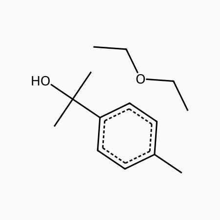 CCOCC.Cc1ccc(C(C)(C)O)cc1